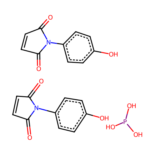 O=C1C=CC(=O)N1c1ccc(O)cc1.O=C1C=CC(=O)N1c1ccc(O)cc1.OP(O)O